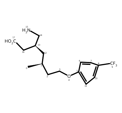 C[C@H](CCOc1ccc(C(F)(F)F)cc1)C[C@H](CN)CC(=O)O